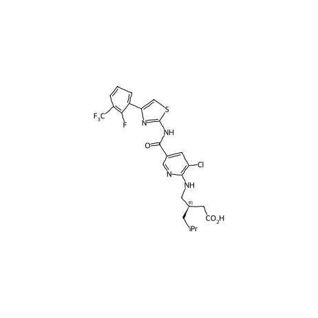 CC(C)C[C@@H](CNc1ncc(C(=O)Nc2nc(-c3cccc(C(F)(F)F)c3F)cs2)cc1Cl)CC(=O)O